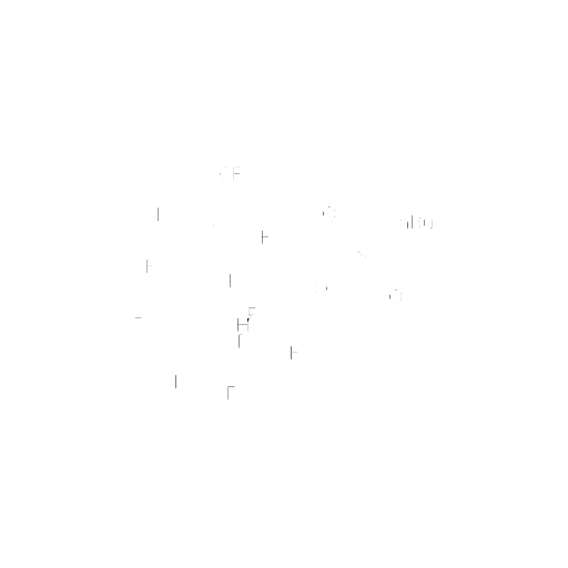 CCCCS(=O)(=O)OF.FC(F)(F)C(F)(F)C(F)(F)C(F)(F)[PH](F)(F)F